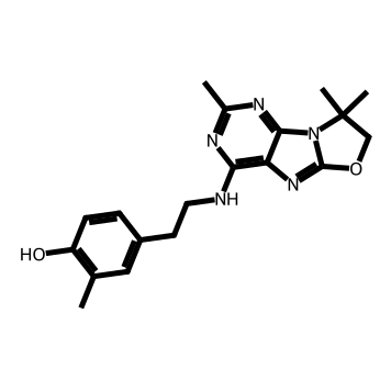 Cc1nc(NCCc2ccc(O)c(C)c2)c2nc3n(c2n1)C(C)(C)CO3